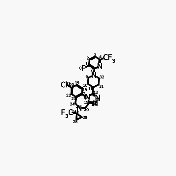 Fc1ccc(C(F)(F)F)nc1N1CCC(c2nnc3n2-c2ccc(Cl)cc2CN(C2(C(F)(F)F)CC2)C3)CC1